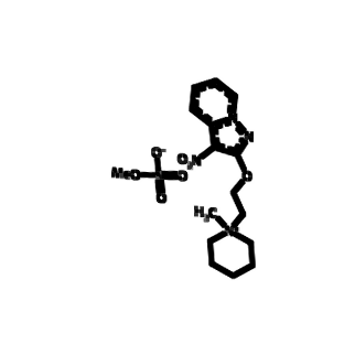 COS(=O)(=O)[O-].C[N+]1(CCOc2nn3ccccc3c2[N+](=O)[O-])CCCCC1